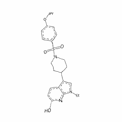 CCn1cc(C2CCN(S(=O)(=O)c3ccc(OC(C)C)cc3)CC2)c2ccc(O)nc21